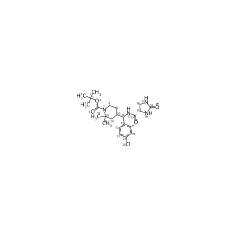 CC(C)(C)OC(=O)N1CCC(C(NC(=O)[C@@H]2CNC(=O)N2)c2ccc(Cl)cc2)CC1(C)C